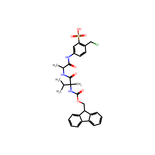 CC(NC(=O)C(C)(NC(=O)OCC1c2ccccc2-c2ccccc21)C(C)C)C(=O)Nc1ccc(CCl)c(S(=O)(=O)O)c1